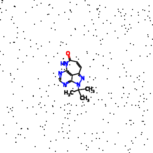 CC(C)(C)n1nc2c3c(ncnc31)NC(=O)C=C2